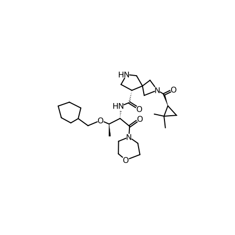 C[C@@H](OCC1CCCCC1)[C@H](NC(=O)[C@@H]1CNCC12CN(C(=O)[C@H]1CC1(C)C)C2)C(=O)N1CCOCC1